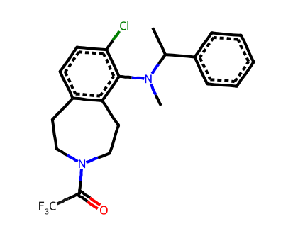 CC(c1ccccc1)N(C)c1c(Cl)ccc2c1CCN(C(=O)C(F)(F)F)CC2